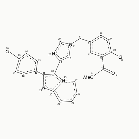 COC(=O)c1cc(Cn2cc(-c3c(-c4ccc(Cl)cc4)nc4ccccn34)nn2)ccc1Cl